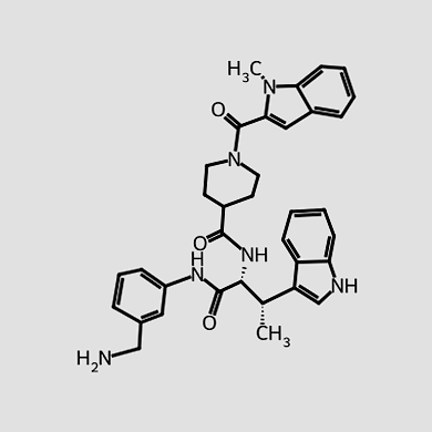 C[C@@H](c1c[nH]c2ccccc12)[C@@H](NC(=O)C1CCN(C(=O)c2cc3ccccc3n2C)CC1)C(=O)Nc1cccc(CN)c1